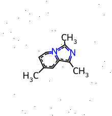 Cc1ccn2c(C)nc(C)c2c1